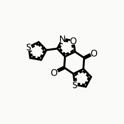 O=C1c2ccsc2C(=O)c2c(-c3ccsc3)noc21